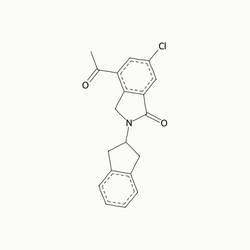 CC(=O)c1cc(Cl)cc2c1CN(C1Cc3ccccc3C1)C2=O